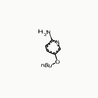 CCCCOc1ccc(N)nc1